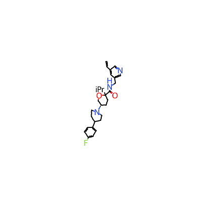 C=Cc1cncc(CNC(=O)C2(C(C)C)CC[C@@H](N3CCC(c4ccc(F)cc4)CC3)CO2)c1